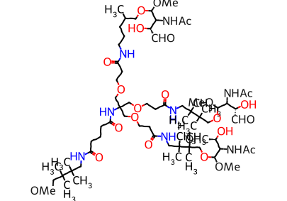 COCC(C)(C)C(C)(C)CNC(=O)CCCC(=O)NC(COCCC(=O)NCCCC(C)COC(OC)C(NC(C)=O)[C@H](O)C=O)(COCCC(=O)NCC(C)(C)C(C)(C)COC(OC)C(NC(C)=O)[C@H](O)C=O)COCCC(=O)NCC(C)(C)C(C)(C)COC(OC)C(NC(C)=O)[C@H](O)C=O